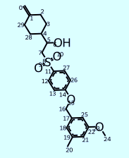 C=C1CCC(C(O)CS(=O)(=O)c2ccc(OCc3cc(C)cc(OC)c3)cc2)CC1